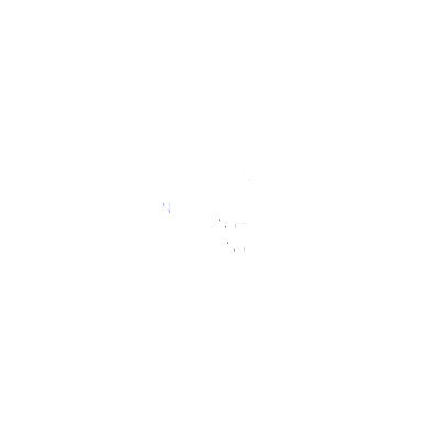 N#CS.[NaH].[NaH]